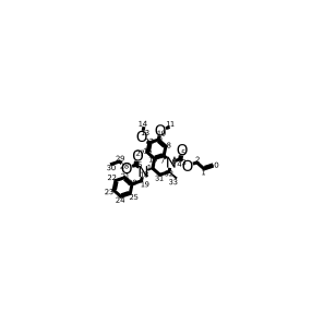 C=CCOC(=O)N1c2cc(OC)c(OC)cc2[C@H](N(Cc2ccccc2)C(=O)OCC)C[C@@H]1C